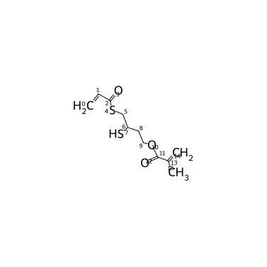 C=CC(=O)SCC(S)CCOC(=O)C(=C)C